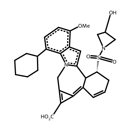 COc1ccc(C2CCCCC2)c2c1cc1n2CC2=C(C(=O)O)C2=C2C=CC[C@@H](S(=O)(=O)N3CC(O)C3)C21